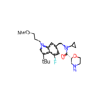 COCCCn1cc(C(C)(C)C)c2c(F)cc(CN(C(=O)[C@H]3CNCCO3)C3CC3)cc21